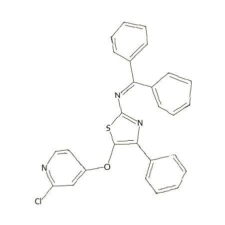 Clc1cc(Oc2sc(N=C(c3ccccc3)c3ccccc3)nc2-c2ccccc2)ccn1